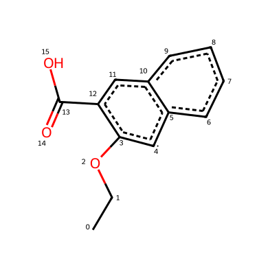 CCOc1[c]c2ccccc2cc1C(=O)O